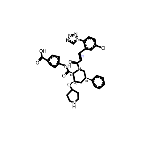 O=C(O)c1ccc(NC(=O)[C@@H]2[C@H](OC3CCNCC3)C[C@H](c3ccccc3)CN2C(=O)/C=C/c2cc(Cl)ccc2-n2cnnn2)cc1